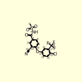 CS(=O)(=O)NC(=O)c1ccc(Oc2ccc(Cl)c(C(F)(F)F)c2)c(C#N)c1